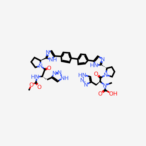 COC(=O)N[C@@H](Cc1c[nH]nn1)C(=O)N1CCC[C@H]1c1ncc(-c2ccc(-c3ccc(-c4cnc([C@@H]5CCCN5C(=O)[C@H](Cc5c[nH]nn5)N(C)C(=O)O)[nH]4)cc3)cc2)[nH]1